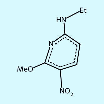 [CH2]CNc1ccc([N+](=O)[O-])c(OC)n1